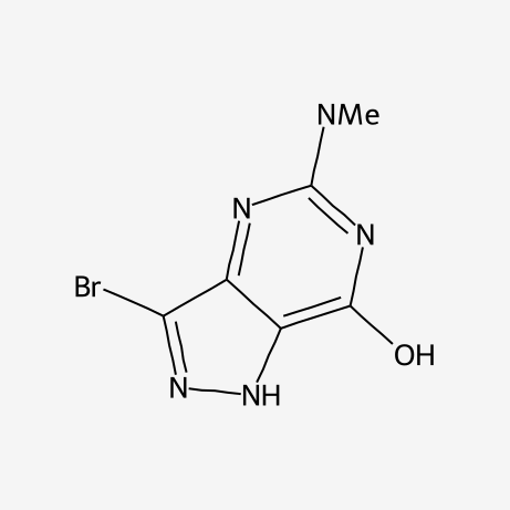 CNc1nc(O)c2[nH]nc(Br)c2n1